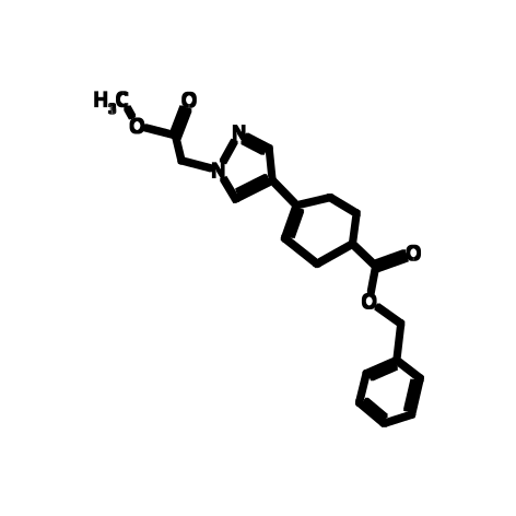 COC(=O)Cn1cc(C2=CCC(C(=O)OCc3ccccc3)CC2)cn1